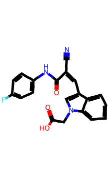 N#CC(=Cc1cn(CC(=O)O)c2ccccc12)C(=O)Nc1ccc(F)cc1